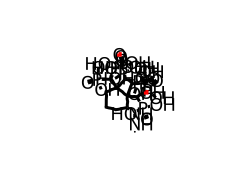 [NH]NC1CCCC(C(P(=O)(O)O)P(=O)(O)O)(C(P(=O)(O)O)P(=O)(O)O)C1(C(P(=O)(O)O)P(=O)(O)O)C(P(=O)(O)O)P(=O)(O)O